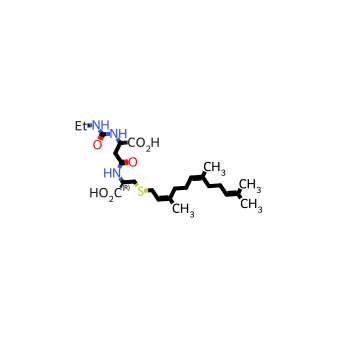 CCNC(=O)NC(CC(=O)N[C@@H](CSCC=C(C)CCC=C(C)CCC=C(C)C)C(=O)O)C(=O)O